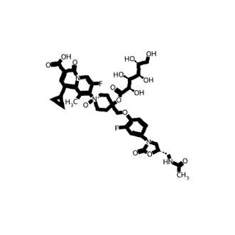 CC(=O)NC[C@H]1CN(c2ccc(OCC3(OC(=O)[C@H](O)[C@@H](O)[C@H](O)[C@H](O)CO)CC[N+]([O-])(c4c(F)cn5c(=O)c(C(=O)O)cc(C6CC6)c5c4C)CC3)c(F)c2)C(=O)O1